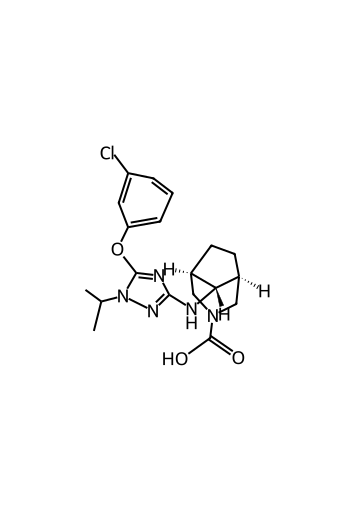 CC(C)n1nc(N[C@@H]2[C@@H]3CC[C@H]2CN(C(=O)O)C3)nc1Oc1cccc(Cl)c1